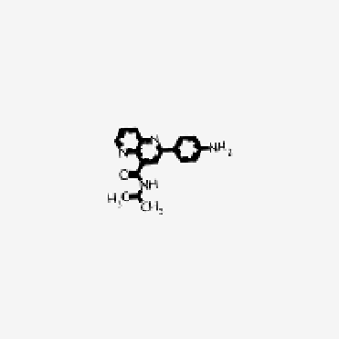 CC(C)NC(=O)c1cc(-c2ccc(N)cc2)nc2cccnc12